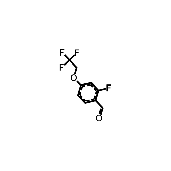 O=Cc1ccc(OCC(F)(F)F)cc1F